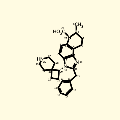 C[C@H]1CCc2c(ccc3c2nc(Cc2ccccc2)n3[C@@H]2CCC23CCNCC3)N1C(=O)O